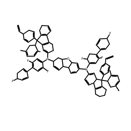 C=Cc1ccc(C2(C3CC(C)=CC=C3C)C3=C(CCCC3)C3C=CC(N(C4=CC5OC6CC(N(C7=CC8=C(CC7)C7=C(CCC=C7)C8(C7=CCC(C=C)C=C7)C7CC(C)=CC=C7C)c7cc(F)c(C8=CCC(F)C=C8)cc7F)C=CC6C5C=C4)C4=CC(F)=C(C5=CCC(F)C=C5)CC4F)=CC32)cc1